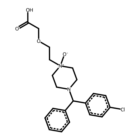 O=C(O)COCC[N+]1([O-])CCN(C(c2ccccc2)c2ccc(Cl)cc2)CC1